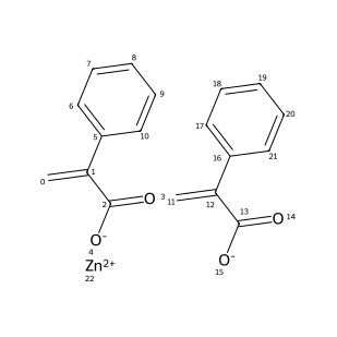 C=C(C(=O)[O-])c1ccccc1.C=C(C(=O)[O-])c1ccccc1.[Zn+2]